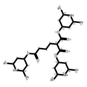 CC(C)C1CC(OC(=O)CCCC(C(=O)OC2CC(C(C)C)NC(C(C)C)C2)C(=O)OC2CC(C(C)C)NC(C(C)C)C2)CC(C(C)C)N1